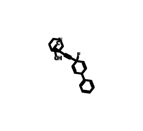 OC1(C#CC2(F)C=CC(c3ccccc3)C=C2)CN2CCC1CC2